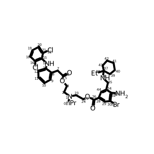 CCCN(CCOC(=O)Cc1ccccc1Nc1c(Cl)cccc1Cl)CCOC(=O)c1cc(Br)c(N)c(CNC2(CC)CCCCC2)c1